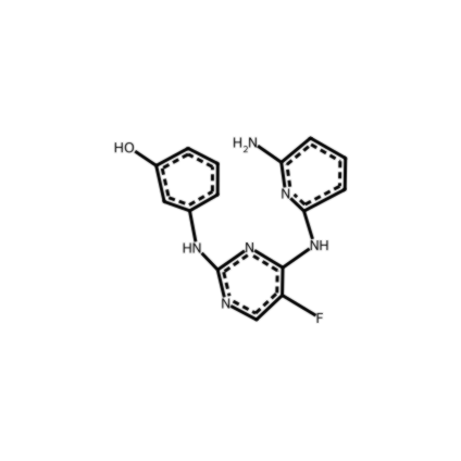 Nc1cccc(Nc2nc(Nc3cccc(O)c3)ncc2F)n1